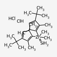 CC1=[C]([Zr]([CH3])([CH3])(=[SiH2])[C]2=C(C)C(C(C)(C)C)=CC2C)C(C)C=C1C(C)(C)C.Cl.Cl